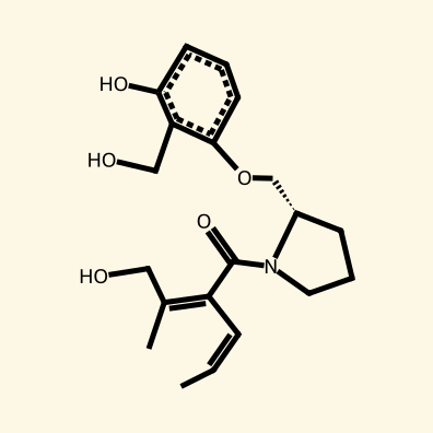 C/C=C\C(C(=O)N1CCC[C@H]1COc1cccc(O)c1CO)=C(/C)CO